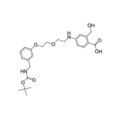 CC(C)(C)OC(=O)NCc1cccc(OCCOCCNc2ccc(C(=O)O)c(CO)c2)c1